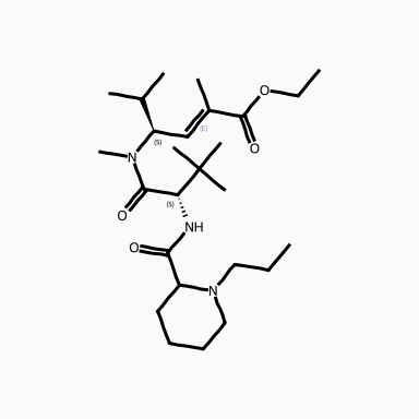 CCCN1CCCCC1C(=O)N[C@H](C(=O)N(C)[C@H](/C=C(\C)C(=O)OCC)C(C)C)C(C)(C)C